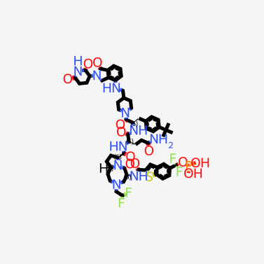 CC(C)(C)c1ccc(C[C@H](NC(=O)[C@H](CCC(N)=O)NC(=O)[C@@H]2CC[C@@H]3CCN(CC(F)F)C[C@H](NC(=O)c4cc5cc(C(F)(F)OP(O)O)ccc5s4)C(=O)N32)C(=O)N2CCC(CNc3cccc4c3CN(C3CCC(=O)NC3=O)C4=O)CC2)cc1